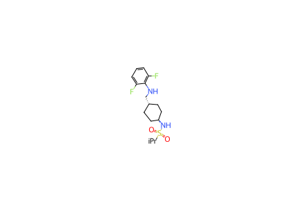 CC(C)S(=O)(=O)N[C@H]1CC[C@H](CNc2c(F)cccc2F)CC1